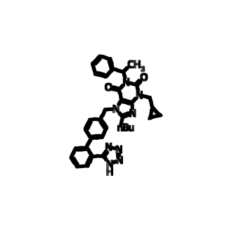 CCCCc1nc2c(c(=O)n(C(C)c3ccccc3)c(=O)n2CC2CC2)n1Cc1ccc(-c2ccccc2-c2nnn[nH]2)cc1